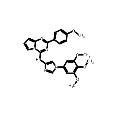 COc1ccc(-c2nc(Nc3cn(-c4cc(OC)c(OC)c(OC)c4)cn3)n3cccc3n2)cc1